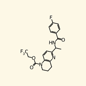 CC(NC(=O)c1ccc(F)cc1)c1ccc2c(n1)CCCN2C(=O)OCC(F)(F)F